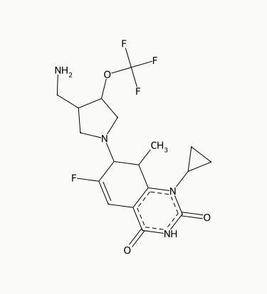 CC1c2c(c(=O)[nH]c(=O)n2C2CC2)C=C(F)C1N1CC(CN)C(OC(F)(F)F)C1